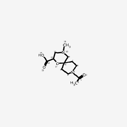 CC(=O)N1CCC2(CC1)CN(C)CC(C(=O)O)O2